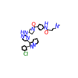 CN(C)C/C=C/C(=O)Nc1ccc(C(=O)N2CC[C@H](Nc3nccc(-c4c(-c5cccc(Cl)c5)nn5ccccc45)n3)C2)cc1